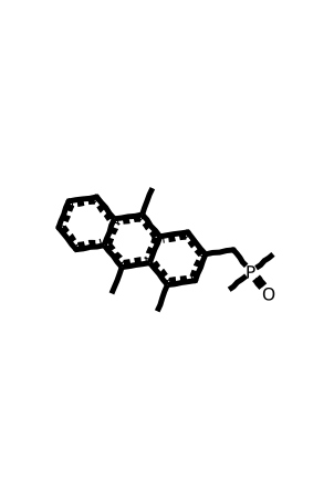 Cc1c2ccccc2c(C)c2c(C)cc(CP(C)(C)=O)cc12